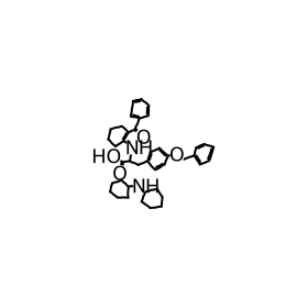 C1CCC(NC2CCCCC2)CC1.O=C(C1=C(NC(Cc2ccc(OCc3ccccc3)cc2)C(=O)O)CCCC1)c1ccccc1